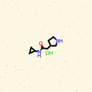 Cl.O=C(CC1CCNC1)NC1CC1